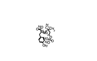 C[N+](C)(C)CCOP(=O)(O)O.N[C@@H](Cc1ccc(O)cc1)C(=O)O